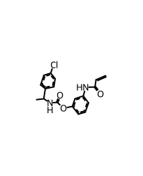 C=CC(=O)Nc1cccc(OC(=O)NC(C)c2ccc(Cl)cc2)c1